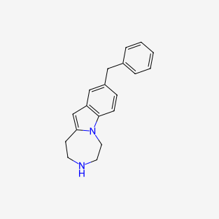 c1ccc(Cc2ccc3c(c2)cc2n3CCNCC2)cc1